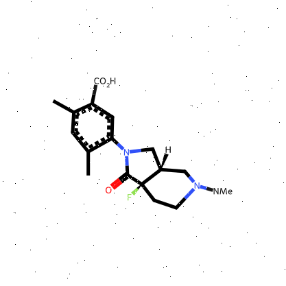 CNN1CC[C@]2(F)C(=O)N(c3cc(C(=O)O)c(C)cc3C)C[C@@H]2C1